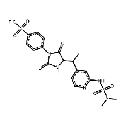 CC(c1ccnc(NS(=O)(=O)N(C)C)c1)C1NC(=O)N(c2ccc(S(=O)(=O)C(F)(F)F)cc2)C1=O